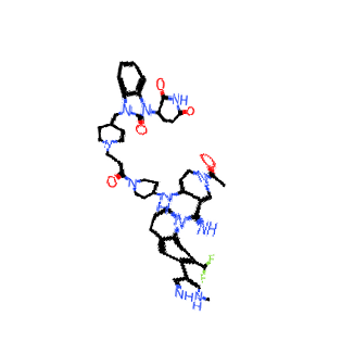 CN/C=C(\C=N)c1cc2c(cc1C(F)F)N(C(=N)C1CN(C(C)=O)CCC1NC1CCN(C(=O)CCN3CCC(Cn4c(=O)n(C5CCC(=O)NC5=O)c5ccccc54)CC3)CC1)CCC2